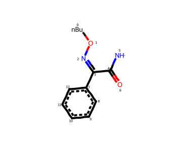 CCCCON=C(C([NH])=O)c1ccccc1